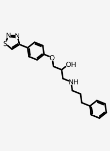 OC(CNCCCc1ccccc1)COc1ccc(-c2csnn2)cc1